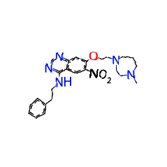 CN1CCCN(CCOc2cc3ncnc(NCCc4ccccc4)c3cc2[N+](=O)[O-])CC1